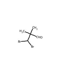 CC(C)(C=O)C(Br)Br